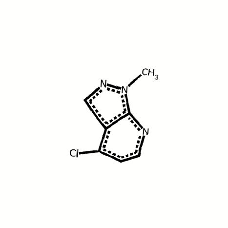 Cn1ncc2c(Cl)ccnc21